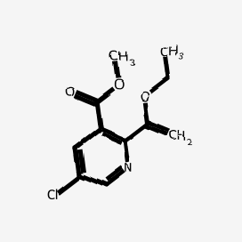 C=C(OCC)c1ncc(Cl)cc1C(=O)OC